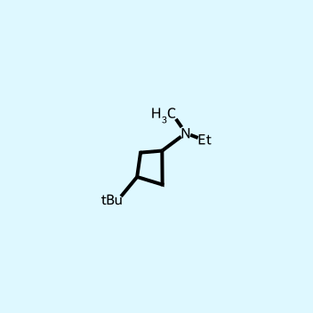 CCN(C)C1CC(C(C)(C)C)C1